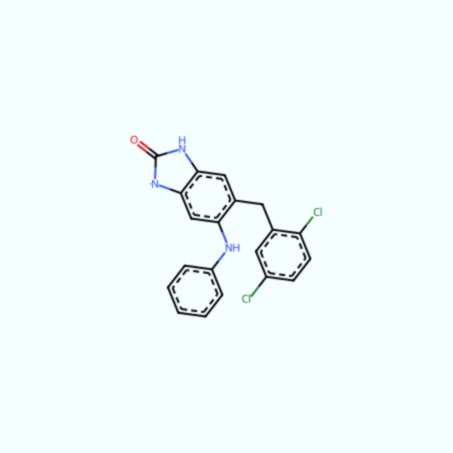 O=C1[N]c2cc(Nc3ccccc3)c(Cc3cc(Cl)ccc3Cl)cc2N1